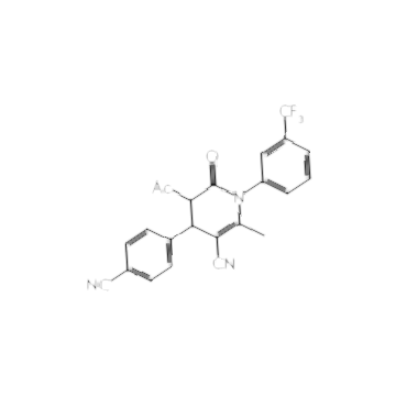 CC(=O)C1C(=O)N(c2cccc(C(F)(F)F)c2)C(C)=C(C#N)C1c1ccc(C#N)cc1